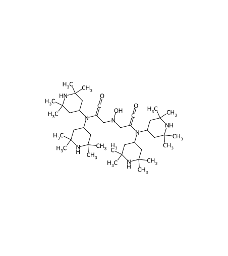 CC1(C)CC(N(C(=C=O)CN(O)CC(=C=O)N(C2CC(C)(C)NC(C)(C)C2)C2CC(C)(C)NC(C)(C)C2)C2CC(C)(C)NC(C)(C)C2)CC(C)(C)N1